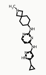 CN1CC2(CCC(Nc3nccc(Nc4cc(C5CC5)[nH]n4)n3)CC2)C1